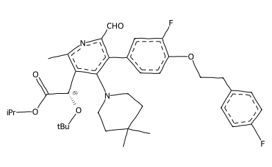 Cc1nc(C=O)c(-c2ccc(OCCc3ccc(F)cc3)c(F)c2)c(N2CCC(C)(C)CC2)c1[C@H](OC(C)(C)C)C(=O)OC(C)C